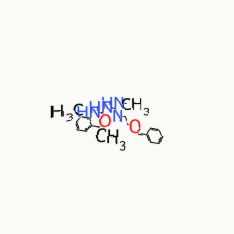 CCc1cccc(C)c1NC(=O)NC(=NCCOCc1ccccc1)NC